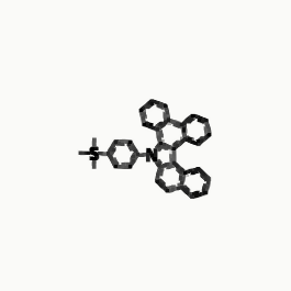 CS(C)(C)c1ccc(-n2c3ccc4ccccc4c3c3c4ccccc4c4ccccc4c32)cc1